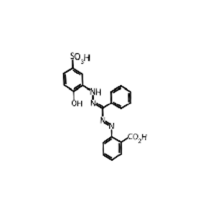 O=C(O)c1ccccc1/N=N/C(=N/Nc1cc(S(=O)(=O)O)ccc1O)c1ccccc1